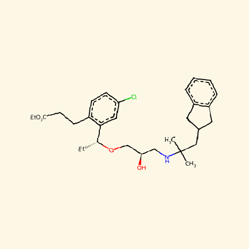 CCOC(=O)CCc1ccc(Cl)cc1[C@@H](CC)OC[C@H](O)CNC(C)(C)CC1Cc2ccccc2C1